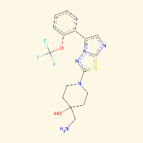 NCC1(O)CCN(c2nn3c(-c4ccccc4OC(F)(F)F)cnc3s2)CC1